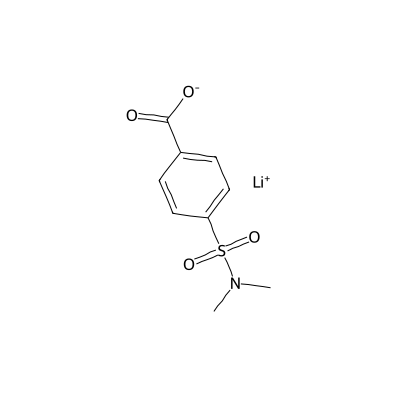 CN(C)S(=O)(=O)c1ccc(C(=O)[O-])cc1.[Li+]